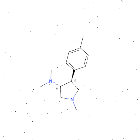 Cc1ccc([C@H]2CN(C)C[C@@H]2N(C)C)cc1